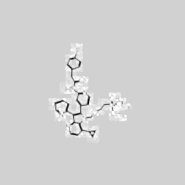 C[Si](C)(C)CCOCn1c(-c2ccnc(NC(=O)Cc3ccc(F)cc3)c2)c(-c2ccccn2)c2nccc(C3CC3)c21